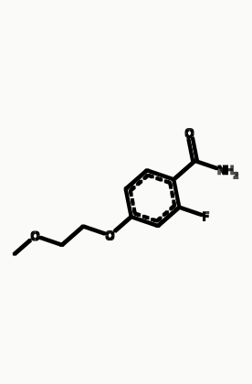 COCCOc1ccc(C(N)=O)c(F)c1